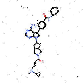 CN(CC=CC(=O)N1CC2CC(n3cc(-c4ccc(C(=O)Nc5ccccc5)cc4)c4c(N)ncnc43)CC2C1)C1CC1